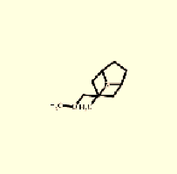 COCCN1C2CCC1CC(C)C2